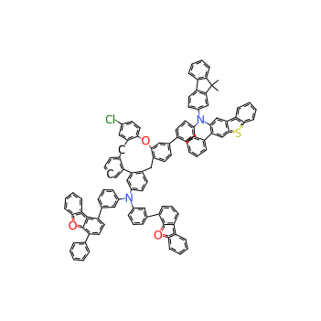 CC1(C)c2ccccc2-c2ccc(N(c3ccc(-c4ccc5c(c4)Oc4ccc(Cl)cc4Cc4ccccc4-c4cc(N(c6cccc(-c7cccc8c7oc7ccccc78)c6)c6cccc(-c7ccc(-c8ccccc8)c8oc9ccccc9c78)c6)ccc4C5)cc3)c3cc4c(cc3-c3ccccc3)sc3ccccc34)cc21